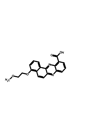 COCCOc1cccc2c1ccc1nc3cccc(C(=O)O)c3nc12